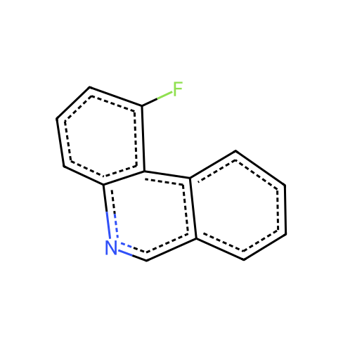 Fc1cccc2ncc3ccccc3c12